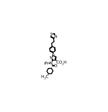 CC(C)N(c1nn(-c2ccc(CCc3cscn3)cc2)cc1C(=O)O)C(=O)[C@H]1CC[C@H](C)CC1